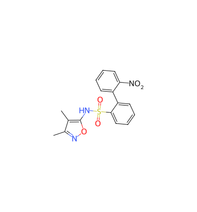 Cc1noc(NS(=O)(=O)c2ccccc2-c2ccccc2[N+](=O)[O-])c1C